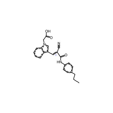 CCCc1ccc(NC(=O)/C(C#N)=C/c2cn(CC(=O)O)c3ccccc23)cc1